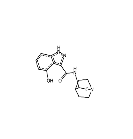 O=C(NC1CN2CCC1CC2)c1n[nH]c2cccc(O)c12